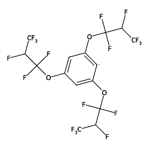 FC(C(F)(F)F)C(F)(F)Oc1[c]c(OC(F)(F)C(F)C(F)(F)F)cc(OC(F)(F)C(F)C(F)(F)F)c1